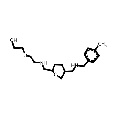 Cc1ccc(CNCC2CCC(CNCCOCCO)CC2)cc1